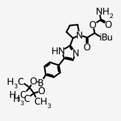 CCC(C)C(OC(N)=O)C(=O)N1CCCC1c1ncc(-c2ccc(B3OC(C)(C)C(C)(C)O3)cc2)[nH]1